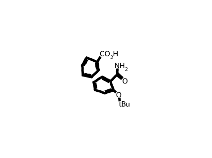 CC(C)(C)Oc1ccccc1C(N)=O.O=C(O)c1ccccc1